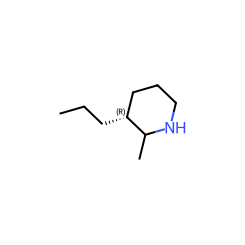 CCC[C@@H]1CCCNC1C